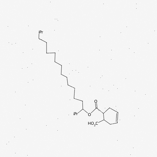 CC(C)CCCCCCCCCCCCC(OC(=O)C1CC=CCC1C(=O)O)C(C)C